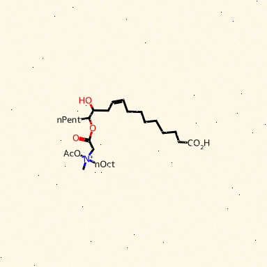 CCCCCCCC[N+](C)(CC(=O)OC(CCCCC)C(O)C/C=C\CCCCCCCC(=O)O)OC(C)=O